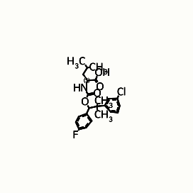 CC(C)C[C@H](NC(=O)OC(c1ccc(F)cc1)C(C)(C)c1cccc(Cl)c1)C(=O)O